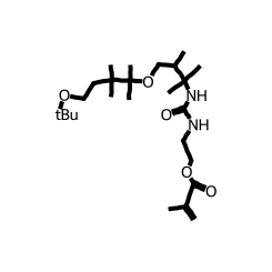 C=C(C)C(=O)OCCNC(=O)NC(C)(C)C(C)COC(C)(C)C(C)(C)CCOC(C)(C)C